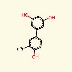 CCCc1cc(-c2cc(O)cc(O)c2)ccc1O